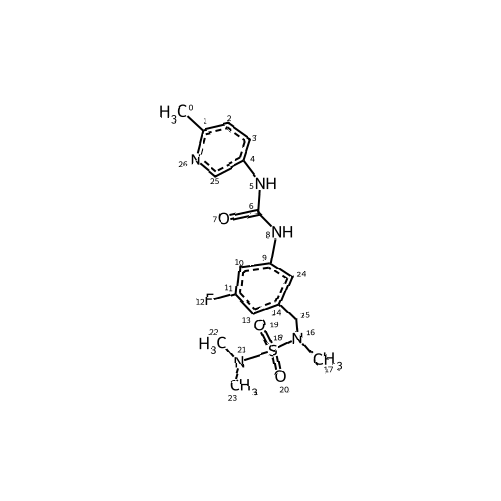 Cc1ccc(NC(=O)Nc2cc(F)cc(CN(C)S(=O)(=O)N(C)C)c2)cn1